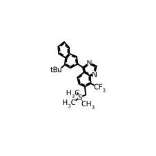 CC(C)(C)c1cc(-c2ncnc3c(C(F)(F)F)c(CS(C)(C)C)ccc23)cc2ccccc12